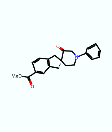 COC(=O)c1ccc2c(c1)C[C@]1(CCN(c3ccccc3)CC1=O)C2